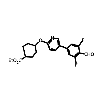 CCOC(=O)C1CCC(Oc2ccc(-c3cc(F)c(C=O)c(F)c3)cn2)CC1